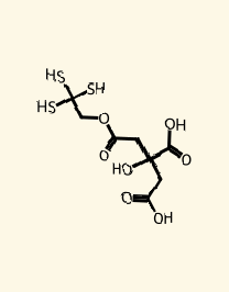 O=C(O)CC(O)(CC(=O)OCC(S)(S)S)C(=O)O